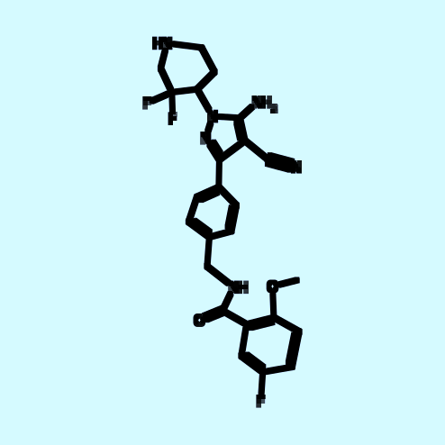 COc1ccc(F)cc1C(=O)NCc1ccc(-c2nn(C3CCNCC3(F)F)c(N)c2C#N)cc1